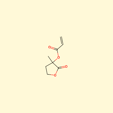 C=CC(=O)OC1(C)CCOC1=O